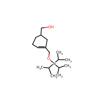 CC(C)[Si](OCC1=CCCC(CO)C1)(C(C)C)C(C)C